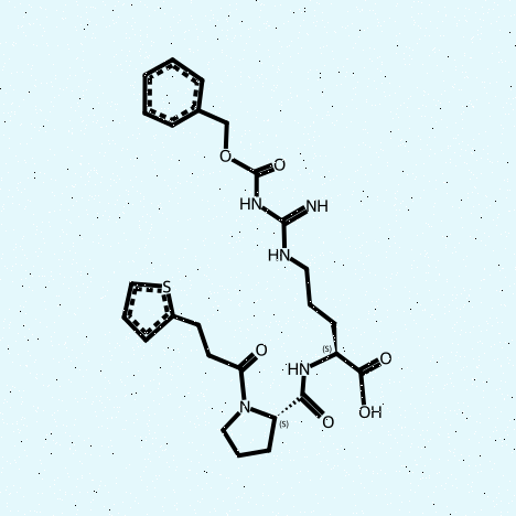 N=C(NCCC[C@H](NC(=O)[C@@H]1CCCN1C(=O)CCc1cccs1)C(=O)O)NC(=O)OCc1ccccc1